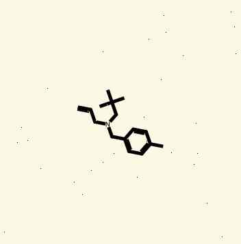 C=CCN(Cc1ccc(C)cc1)CC(C)(C)C